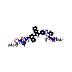 COC(=O)N[C@H](C(=O)N1CCC[C@H]1c1ncc(-c2ccc(-c3ncc(-c4ccc5nc([C@@H]6CCCN6C(=O)[C@@H](NC(=O)OC)C(C)C)[nH]c5c4)c4c3CC3(CCCC3)C4)c3ccccc23)[nH]1)C(C)C